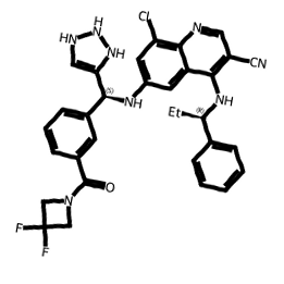 CC[C@@H](Nc1c(C#N)cnc2c(Cl)cc(N[C@H](C3=CNNN3)c3cccc(C(=O)N4CC(F)(F)C4)c3)cc12)c1ccccc1